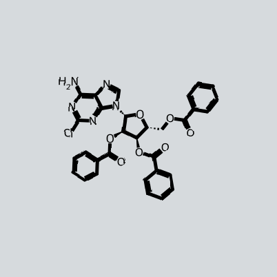 Nc1nc(Cl)nc2c1ncn2[C@@H]1O[C@H](COC(=O)c2ccccc2)[C@@H](OC(=O)c2ccccc2)[C@H]1OC(=O)c1ccccc1